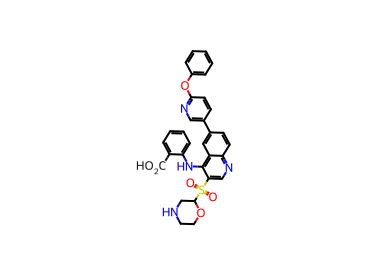 O=C(O)c1ccccc1Nc1c(S(=O)(=O)C2CNCCO2)cnc2ccc(-c3ccc(Oc4ccccc4)nc3)cc12